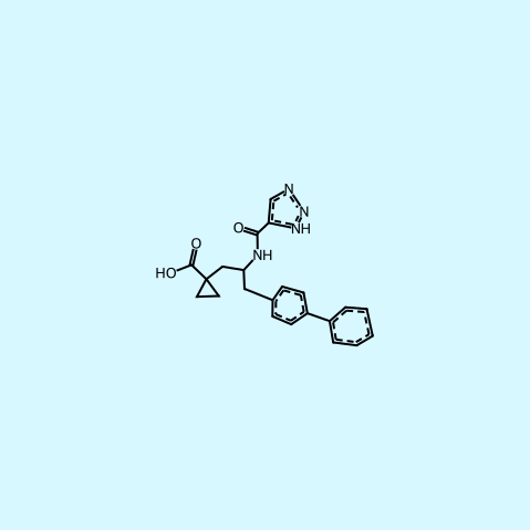 O=C(NC(Cc1ccc(-c2ccccc2)cc1)CC1(C(=O)O)CC1)c1cnn[nH]1